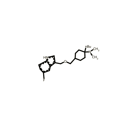 CCCCC1(N(C)C)CCC(COCc2c[nH]c3ccc(F)cc23)CC1